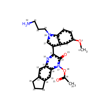 COc1ccc2c(c1)c(-c1nc3cc4c(cc3n(OC(C)=O)c1=O)CCC4)cn2CCCN